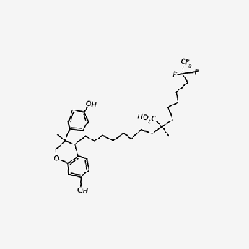 CC(CCCCCCCCC1c2ccc(O)cc2OCC1(C)c1ccc(O)cc1)(CCCCCC(F)(F)C(F)(F)F)C(=O)O